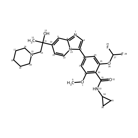 COc1cc(-c2cnc3cc(C(C)(O)CN4CCCCC4)ccn23)cc(OC(F)F)c1C(=O)NC1CC1